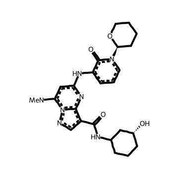 CNc1cc(Nc2cccn([C@@H]3CCCCO3)c2=O)nc2c(C(=O)NC3CCC[C@@H](O)C3)cnn12